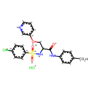 Cl.O=C(O)c1ccc(NC(=O)C(COc2cccnc2)NS(=O)(=O)c2ccc(Cl)cc2)cc1